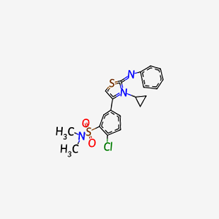 CN(C)S(=O)(=O)c1cc(-c2csc(=Nc3ccccc3)n2C2CC2)ccc1Cl